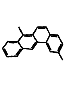 Cc1ccc2ccc3c(C)c4ccccc4cc3c2c1